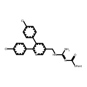 CCCCCC(=O)/N=C(\N)NCc1cnc(-c2ccc(Cl)cc2)c(-c2ccc(Cl)cc2)c1